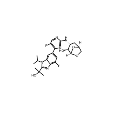 CC(C)n1c(C(C)(C)O)nc2c(F)cc(-c3nc(N[C@@H]4C[C@H]5CO[C@H](O5)[C@H]4O)ncc3F)cc21